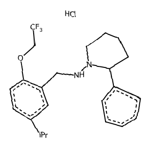 CC(C)c1ccc(OCC(F)(F)F)c(CNN2CCCCC2c2ccccc2)c1.Cl